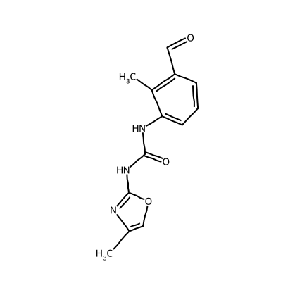 Cc1coc(NC(=O)Nc2cccc(C=O)c2C)n1